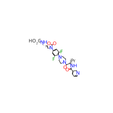 CC(C)[C@H](NC(=O)c1cccnc1)C(=O)N1CCN(c2c(F)cc(N3C[C@H](CNC(=O)O)OC3=O)cc2F)CC1